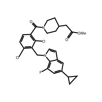 COC(=O)CC1CCN(C(=O)c2ccc(Cl)c(Cn3ccc4cc(C5CC5)cc(F)c43)c2Cl)CC1